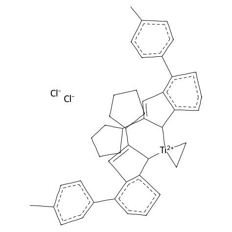 Cc1ccc(-c2cccc3c2C=C(C2CCCC2)[CH]3[Ti+2]2([CH]3C(C4CCCC4)=Cc4c(-c5ccc(C)cc5)cccc43)[CH2][CH2]2)cc1.[Cl-].[Cl-]